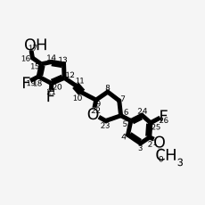 COc1ccc(C2CCC(C#Cc3ccc(CO)c(F)c3F)OC2)cc1F